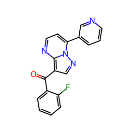 O=C(c1ccccc1F)c1cnn2c(-c3cccnc3)ccnc12